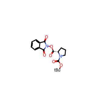 CC(C)(C)OC(=O)N1CCC[C@H]1C(=O)ON1C(=O)c2ccccc2C1=O